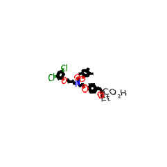 CCOC(Cc1ccc(OCCN(CCCCOc2cc(Cl)cc(Cl)c2)C(=O)Oc2cc(C)c(C)cc2C)cc1)C(=O)O